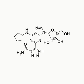 NC(=O)c1nn[nH]c1-c1nc(NC2CCCC2)c2ncn(C3O[C@H](CO)[C@@H](O)[C@@H]3O)c2n1